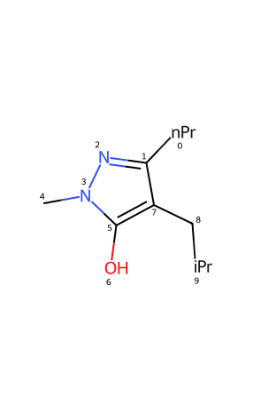 CCCc1nn(C)c(O)c1CC(C)C